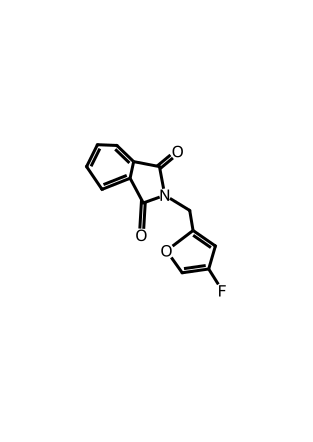 O=C1c2ccccc2C(=O)N1Cc1cc(F)co1